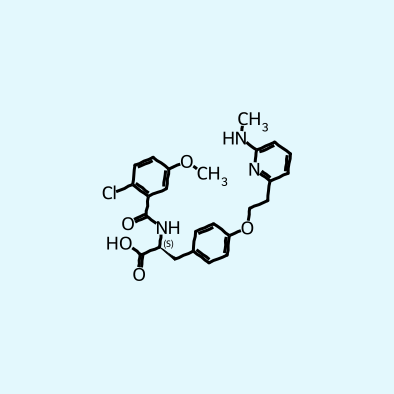 CNc1cccc(CCOc2ccc(C[C@H](NC(=O)c3cc(OC)ccc3Cl)C(=O)O)cc2)n1